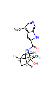 COc1cncc2[nH]c(C(=O)N[C@H]3C[C@H]4C[C@H](C4(C)C)[C@@]3(C)O)cc12